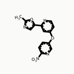 Cc1ncc(-c2cc(Oc3ccc([N+](=O)[O-])nc3)ccn2)o1